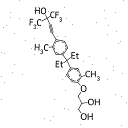 CCC(CC)(c1ccc(C#CC(O)(C(F)(F)F)C(F)(F)F)c(C)c1)c1ccc(OCC(O)CO)c(C)c1